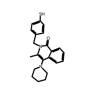 Cc1c(N2CCCCC2)c2ccccc2c(=O)n1Cc1ccc(S)cc1